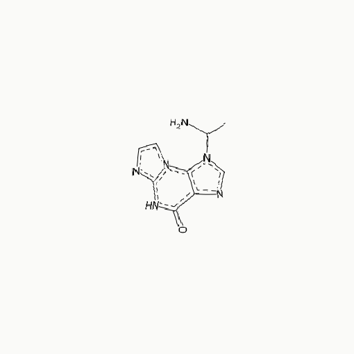 CC(N)n1cnc2c(=O)[nH]c3nccn3c21